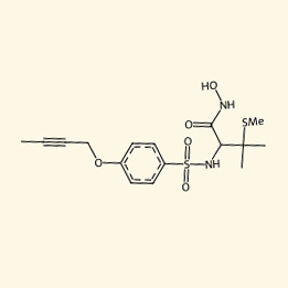 CC#CCOc1ccc(S(=O)(=O)NC(C(=O)NO)C(C)(C)SC)cc1